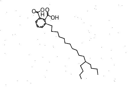 CCCCC(CCCC)CCCCCCCCCCCc1cccc(C(=O)O)c1C(=O)O